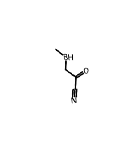 CBCC(=O)C#N